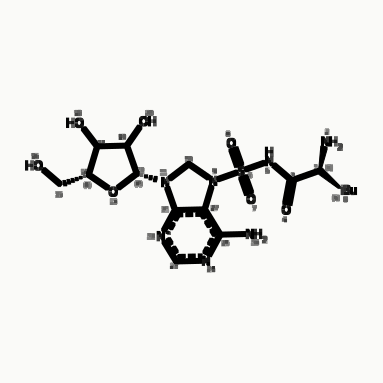 CC[C@H](C)[C@H](N)C(=O)NS(=O)(=O)N1CN([C@@H]2O[C@H](CO)C(O)C2O)c2ncnc(N)c21